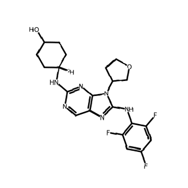 [2H]C1(Nc2ncc3nc(Nc4c(F)cc(F)cc4F)n(C4CCOC4)c3n2)CCC(O)CC1